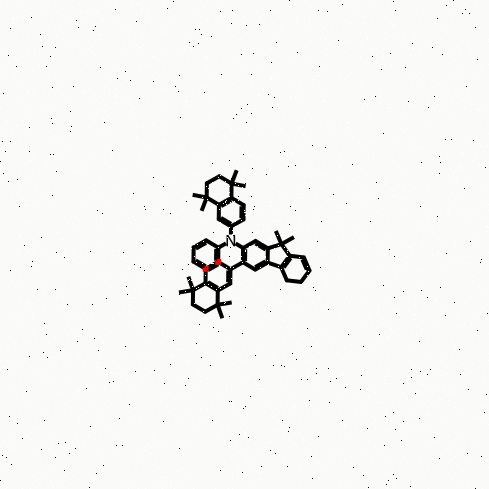 CC1(C)CCC(C)(C)c2cc(-c3cc4c(cc3N(c3ccccc3)c3ccc5c(c3)C(C)(C)CCC5(C)C)C(C)(C)C3=C4CCC=C3)ccc21